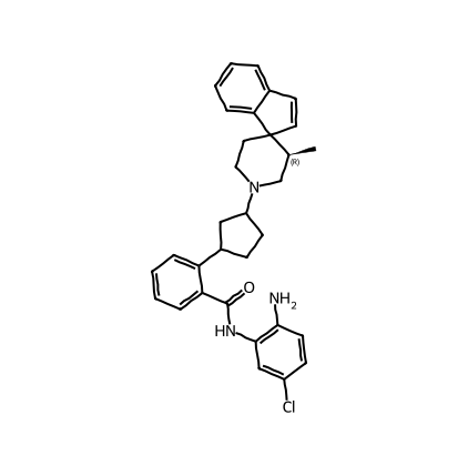 C[C@H]1CN(C2CCC(c3ccccc3C(=O)Nc3cc(Cl)ccc3N)C2)CCC12C=Cc1ccccc12